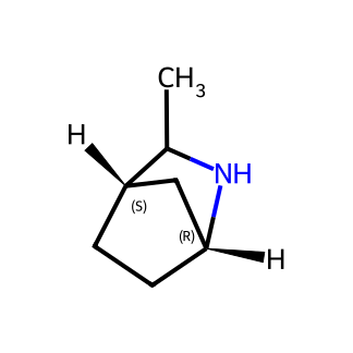 CC1N[C@@H]2CC[C@H]1C2